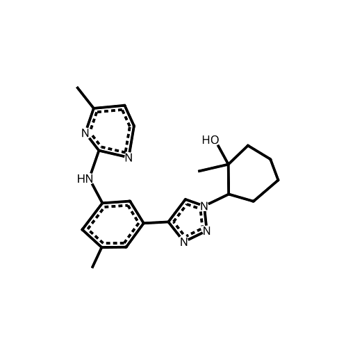 Cc1cc(Nc2nccc(C)n2)cc(-c2cn(C3CCCCC3(C)O)nn2)c1